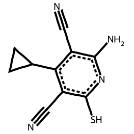 N#Cc1c(N)nc(S)c(C#N)c1C1CC1